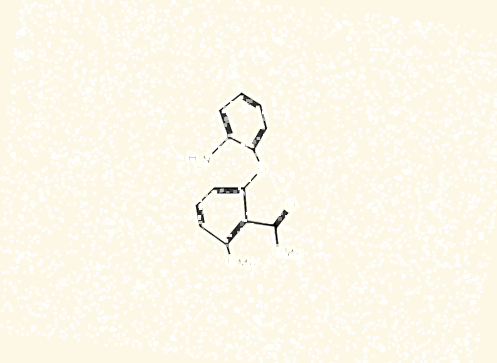 COC(=O)c1c(OC)cccc1Oc1ccccc1N